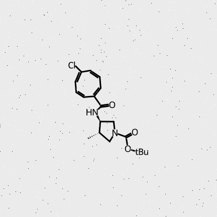 C[C@H]1CN(C(=O)OC(C)(C)C)C[C@@H]1NC(=O)C1=C/C=C\C(Cl)=C/C=C\1